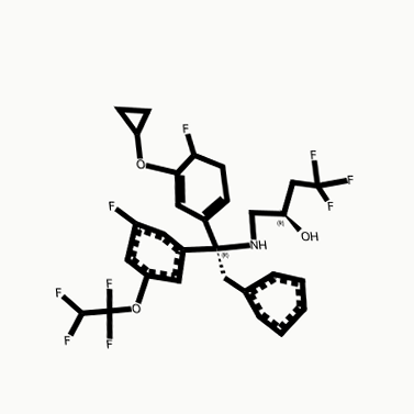 O[C@@H](CN[C@](Cc1ccccc1)(C1=CCC(F)C(OC2CC2)=C1)c1cc(F)cc(OC(F)(F)C(F)F)c1)CC(F)(F)F